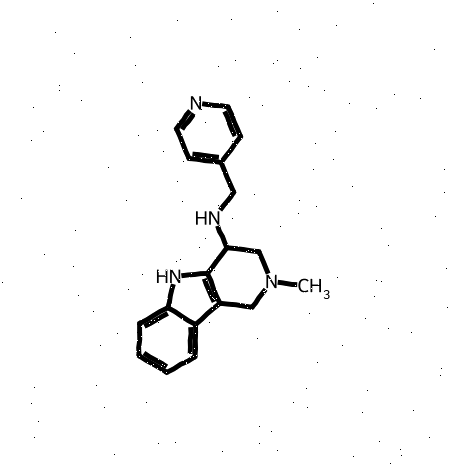 CN1Cc2c([nH]c3ccccc23)C(NCc2ccncc2)C1